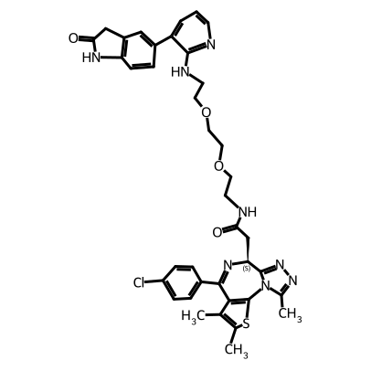 Cc1sc2c(c1C)C(c1ccc(Cl)cc1)=N[C@@H](CC(=O)NCCOCCOCCNc1ncccc1-c1ccc3c(c1)CC(=O)N3)c1nnc(C)n1-2